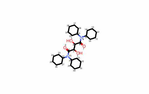 O=C(C(O)C(O)C(=O)N(C1CCCCC1)C1CCCCC1)N(C1CCCCC1)C1CCCCC1